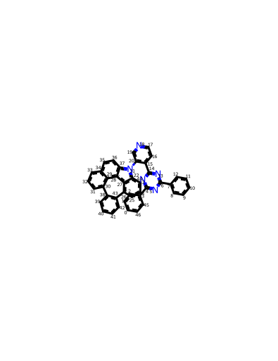 c1ccc(-c2nc(-c3ccccc3)nc(-c3ccncc3-n3c4cccc5c4c4c6c(cccc6ccc43)-c3ccccc3-5)n2)cc1